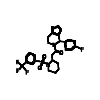 O=C(CC1CCCCN1S(=O)(=O)c1cccc(C(F)(F)F)c1)N1CCc2sccc2C1c1ccc(F)cc1